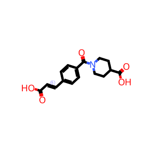 O=C(O)/C=C/c1ccc(C(=O)N2CCC(C(=O)O)CC2)cc1